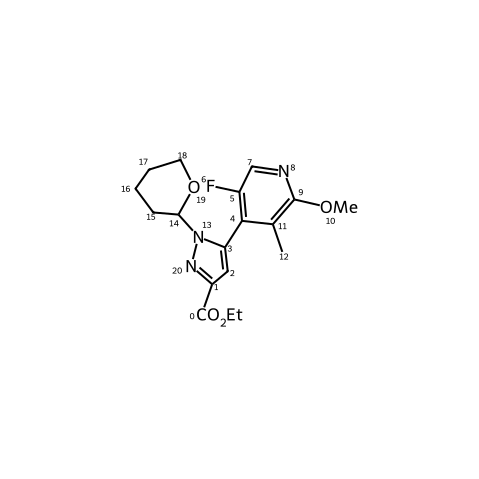 CCOC(=O)c1cc(-c2c(F)cnc(OC)c2C)n(C2CCCCO2)n1